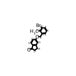 Cc1c(Br)cccc1COc1ccc2c(c1)CCC2=O